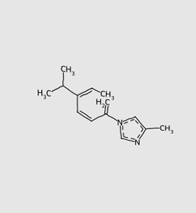 C=C(/C=C\C(=C/C)C(C)C)n1cnc(C)c1